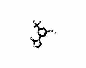 Nc1cc(N2CCOC2=O)nc(C(F)(F)F)c1